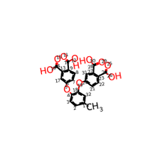 Cc1ccc(Oc2ccc(C(=O)O)c(C(=O)O)c2)c(Oc2ccc(C(=O)O)c(C(=O)O)c2)c1